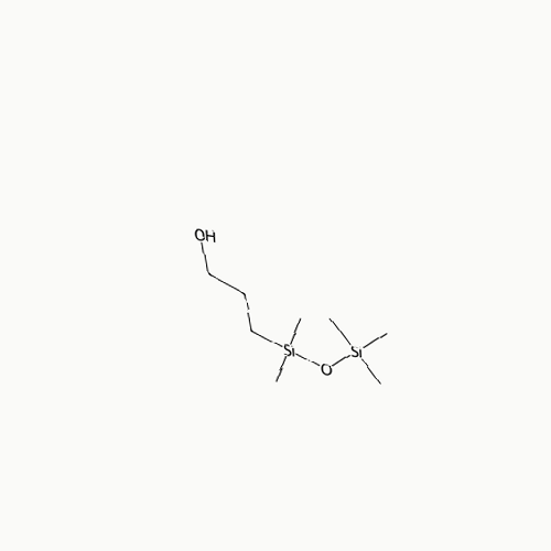 C[Si](C)(C)O[Si](C)(C)CCCO